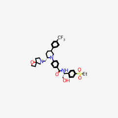 CCS(=O)(=O)c1ccc([C@H](CO)NC(=O)c2ccc(N3CC(c4ccc(C(F)(F)F)cc4)CC[C@H]3CN3CCC4(CCO4)C3)cc2)cc1